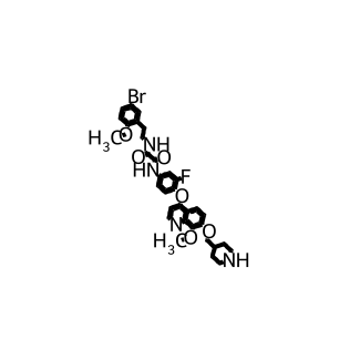 COc1ccc(Br)cc1CCNC(=O)C(=O)Nc1ccc(Oc2ccnc3c(OC)c(OCC4CCNCC4)ccc23)c(F)c1